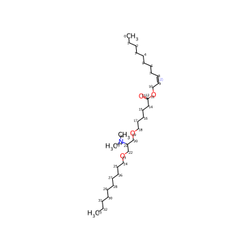 CCCCCCCC/C=C\COC(=O)CCCCCOCC(COCCCCCCCCCC)N(C)C